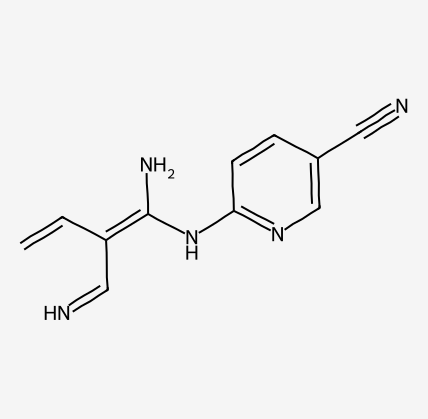 C=C/C(C=N)=C(\N)Nc1ccc(C#N)cn1